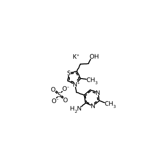 Cc1ncc(C[n+]2csc(CCO)c2C)c(N)n1.O=S(=O)([O-])[O-].[K+]